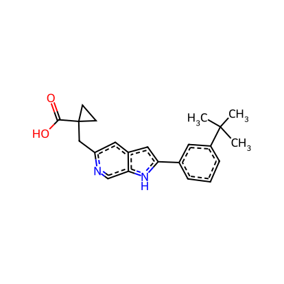 CC(C)(C)c1cccc(-c2cc3cc(CC4(C(=O)O)CC4)ncc3[nH]2)c1